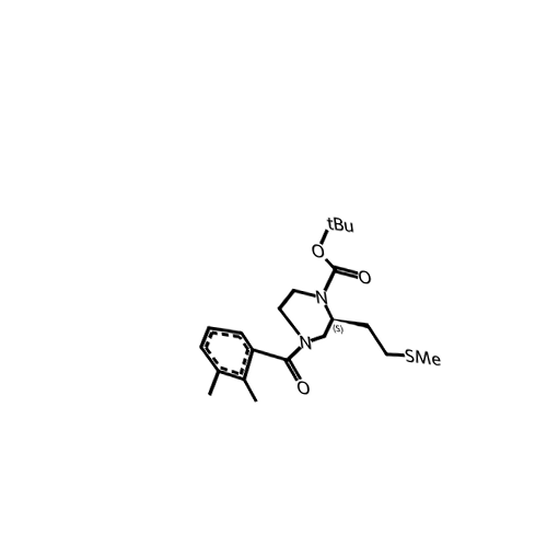 CSCC[C@H]1CN(C(=O)c2cccc(C)c2C)CCN1C(=O)OC(C)(C)C